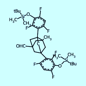 CC12CC3(C=O)CC(c4c(F)cc(F)c(O[Si](C)(C)C(C)(C)C)c4F)(C1)CC2(c1c(F)cc(F)c(O[Si](C)(C)C(C)(C)C)c1F)C3